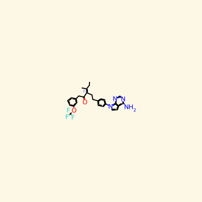 CC/C(C)=C(\CCc1ccc(-n2ccc3c(N)ncnc32)cc1)C(=O)Cc1cccc(OC(F)(F)F)c1